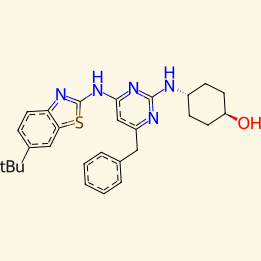 CC(C)(C)c1ccc2nc(Nc3cc(Cc4ccccc4)nc(N[C@H]4CC[C@H](O)CC4)n3)sc2c1